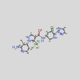 Cc1c(-n2ncc(C(=O)Nc3cnc(-n4nccn4)c(Cl)c3)c2C(F)(F)F)ccnc1N